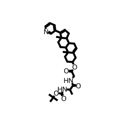 CC(NC(=O)OC(C)(C)C)C(=O)NCC(=O)OC1CCC2(C)C(=CCC3C2CCC2(C)C(c4cccnc4)=CCC32)C1